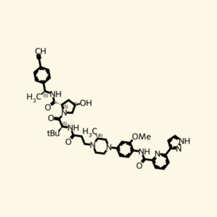 C#Cc1ccc([C@H](C)NC(=O)[C@@H]2C[C@@H](O)CN2C(=O)[C@@H](NC(=O)CCN2CCN(c3ccc(NC(=O)c4cccc(-c5cc[nH]n5)n4)c(OC)c3)C[C@H]2C)C(C)(C)C)cc1